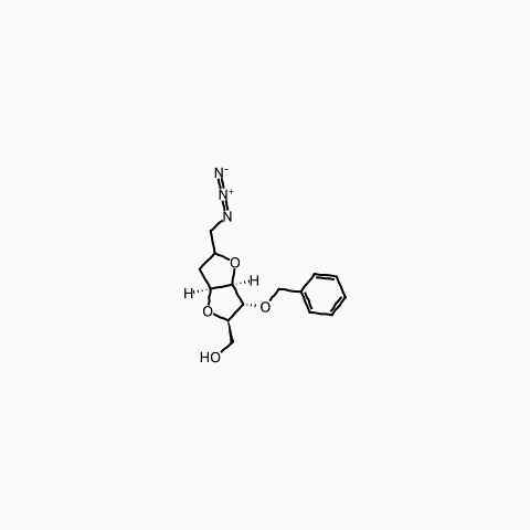 [N-]=[N+]=NCC1C[C@@H]2O[C@H](CO)[C@@H](OCc3ccccc3)[C@@H]2O1